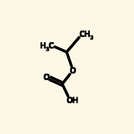 CC(C)OC(=O)O